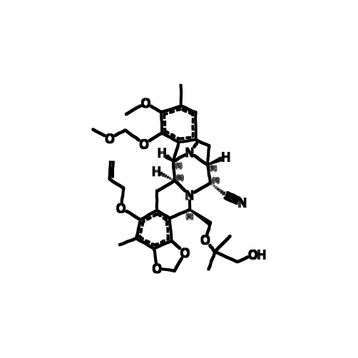 C=CCOc1c(C)c2c(c3c1C[C@H]1[C@@H]4c5c(cc(C)c(OC)c5OCOC)C[C@H]([C@H](C#N)N1[C@H]3COC(C)(C)CO)N4C)OCO2